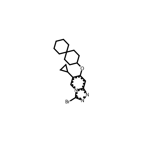 Brc1nnc2cc(OC3CCC4(CCCCC4)CC3)c(C3CC3)cn12